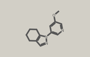 COc1cncc(-n2ncc3c2CCCC3)c1